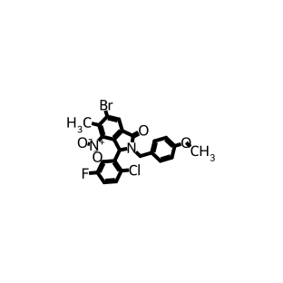 COc1ccc(CN2C(=O)c3cc(Br)c(C)c([N+](=O)[O-])c3C2c2cc(F)ccc2Cl)cc1